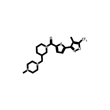 Cc1c(-c2ccc(C(=O)N3CCCC(CN4CCN(C)CC4)C3)s2)noc1C(F)(F)F